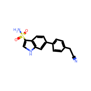 N#CCc1ccc(-c2ccc3c(S(N)(=O)=O)c[nH]c3c2)cc1